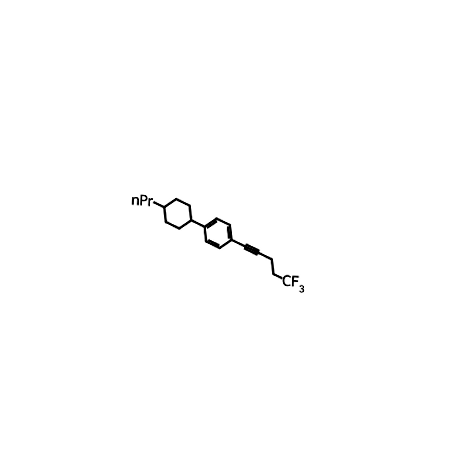 CCCC1CCC(c2ccc(C#CCCC(F)(F)F)cc2)CC1